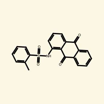 Cc1ccccc1S(=O)(=O)Nc1cccc2c1C(=O)c1ccccc1C2=O